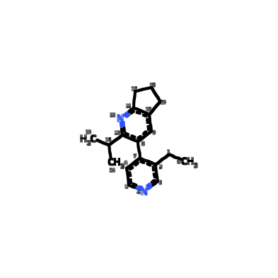 CCc1cnccc1-c1cc2c(nc1C(C)C)CCC2